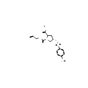 C=CCOC(=O)N1C[C@H](NS(=O)(=O)c2ccc([N+](=O)[O-])cc2)CC1C(=O)OC